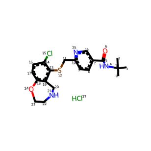 CC(C)(C)NC(=O)c1ccc(CSc2c(Cl)ccc3c2CNCCO3)nc1.Cl